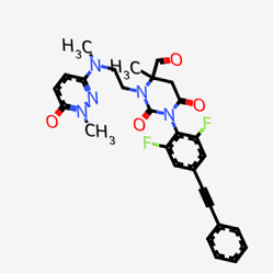 CN(CCN1C(=O)N(c2c(F)cc(C#Cc3ccccc3)cc2F)C(=O)CC1(C)C=O)c1ccc(=O)n(C)n1